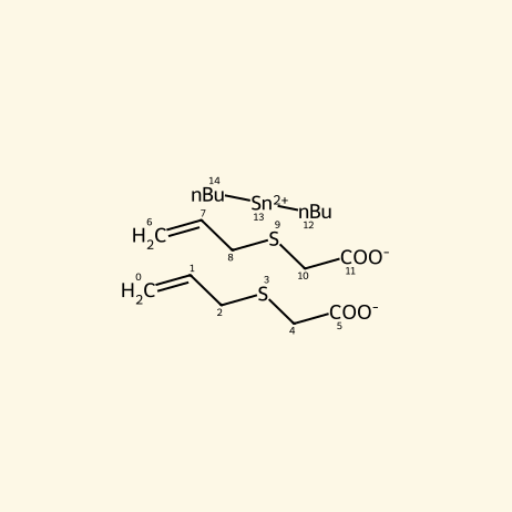 C=CCSCC(=O)[O-].C=CCSCC(=O)[O-].CCC[CH2][Sn+2][CH2]CCC